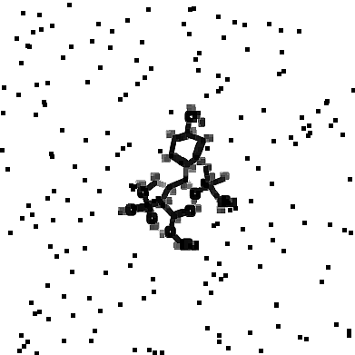 CC(C)(C)OC(=O)N1[C@@H]([C@@H](O[Si](C)(C)C(C)(C)C)c2ccc(C(F)(F)F)cc2)COS1(=O)=O